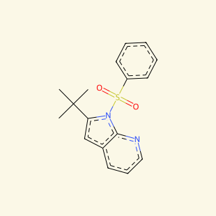 CC(C)(C)c1cc2cccnc2n1S(=O)(=O)c1ccccc1